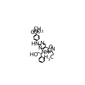 CCc1noc(-c2cnc(Nc3ccc(S(C)(=O)=O)cc3)nc2N[C@H](CO)c2ccccc2)n1